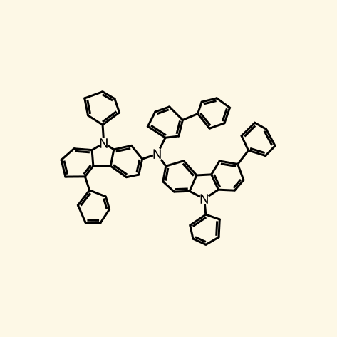 c1ccc(-c2cccc(N(c3ccc4c(c3)c3cc(-c5ccccc5)ccc3n4-c3ccccc3)c3ccc4c5c(-c6ccccc6)cccc5n(-c5ccccc5)c4c3)c2)cc1